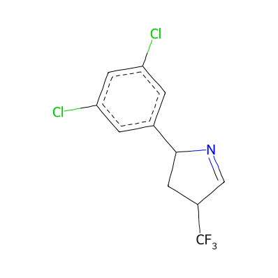 FC(F)(F)C1C=NC(c2cc(Cl)cc(Cl)c2)C1